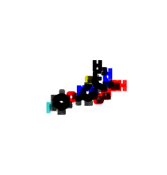 Cc1sc2nc(COc3ccc(F)cc3)cc(=O)n2c1C(=O)NO